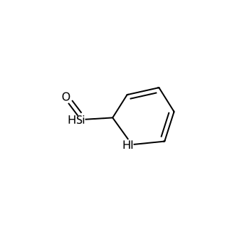 O=[SiH]C1C=CC=C[IH]1